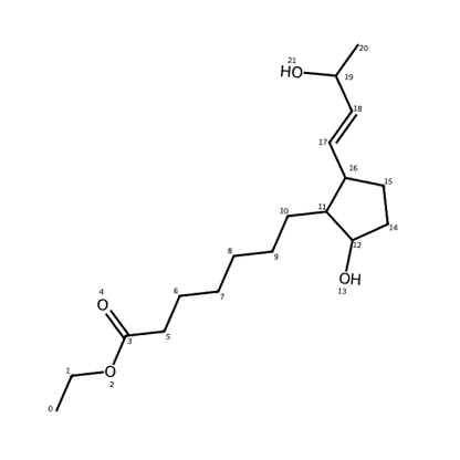 CCOC(=O)CCCCCCC1C(O)CCC1C=CC(C)O